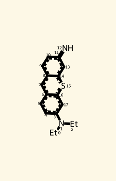 CCN(CC)c1ccc2cc3ccc(=N)cc-3sc2c1